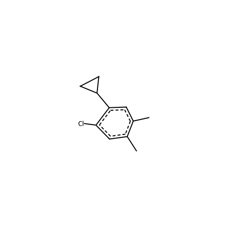 Cc1cc(Cl)c(C2CC2)cc1C